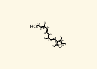 CC(C=Cc1c(C)oc(C)c1C)=CC=CC(C)=CCO